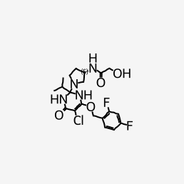 CC(C)C1(N2CC[C@H](NC(=O)CO)C2)NC(=O)C(Cl)=C(OCc2ccc(F)cc2F)N1